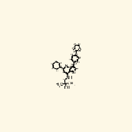 CC(C)(O)CNc1cc(C2=CCCCC2)nn2c(-c3ccc(C4OCCO4)cc3)cnc12